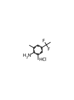 Cc1cc(C(C)(F)F)cc(C)c1N.Cl